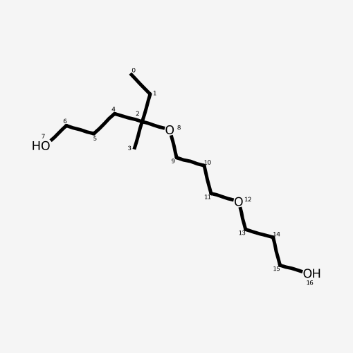 CCC(C)(CCCO)OCCCOCCCO